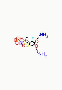 Cc1c(S(=O)(=O)NCP(=O)(O)O)sc2cc(OCCCN)c(OCCCN)c(F)c12